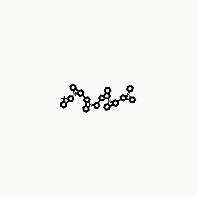 CC1(C)c2ccccc2-c2ccc(-n3c4ccccc4c4ccc(-c5ccc6c(c5)c5ccccc5n6-c5cccc(-c6ccc7c(c6)c(-n6c8ccccc8c8ccc(-c9ccc%10c(c9)c9ccccc9n%10-c9ccccc9)cc86)cc6ccccc67)c5)cc43)cc21